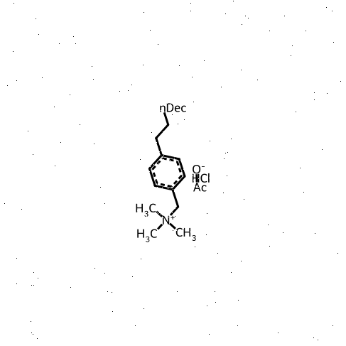 CC(=O)[O-].CCCCCCCCCCCCc1ccc(C[N+](C)(C)C)cc1.Cl